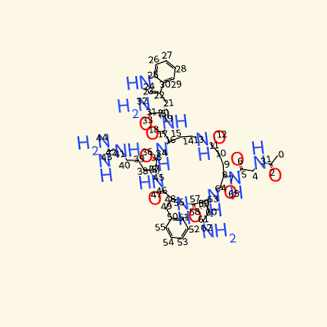 CC(=O)NCC(=O)NC1CCC(=O)NCCC(C(=O)N[C@@H](Cc2c[nH]c3ccccc23)C(N)=O)NC(=O)[C@H](CCCNC(=N)N)NC(=O)C(Cc2ccccc2)NC(=O)[C@H](CCN)NC1=O